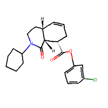 O=C(Oc1cccc(Cl)c1)[C@H]1CC=C[C@H]2CCN(C3CCCCC3)C(=O)[C@@H]12